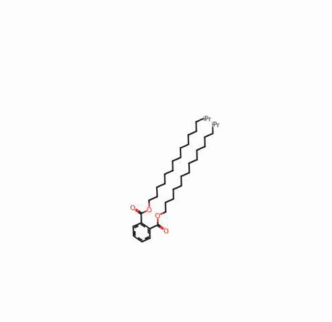 CC(C)CCCCCCCCCCCCCOC(=O)c1ccccc1C(=O)OCCCCCCCCCCCCCC(C)C